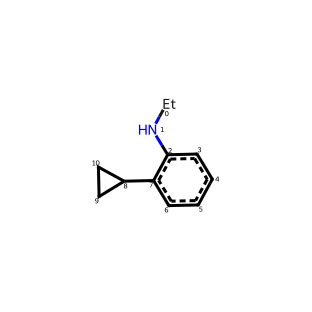 CCNc1ccccc1C1CC1